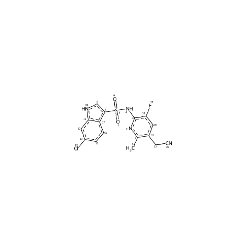 Cc1nc(NS(=O)(=O)c2c[nH]c3cc(Cl)ccc23)c(F)cc1CC#N